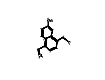 C=Cc1ccc(CCl)c2cc(OC)ccc12